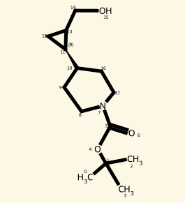 CC(C)(C)OC(=O)N1CCC([C@H]2CC2CO)CC1